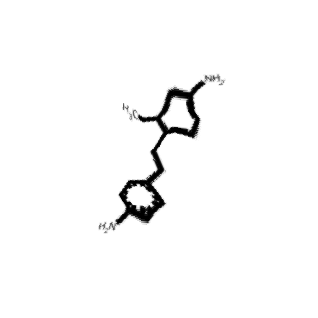 CC1CC(N)=CC=C1CCc1ccc(N)cc1